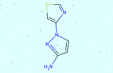 Nc1ccn(-c2cscn2)n1